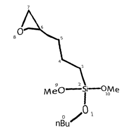 CCCCO[Si](CCCC1CO1)(OC)OC